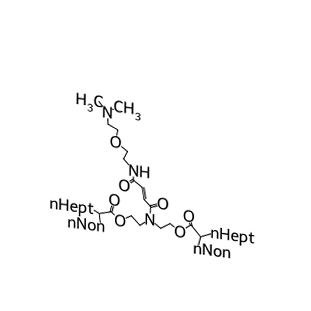 CCCCCCCCCC(CCCCCCC)C(=O)OCCN(CCOC(=O)C(CCCCCCC)CCCCCCCCC)C(=O)C=CC(=O)NCCOCCN(C)C